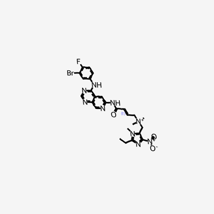 CCc1nc([N+](=O)[O-])c(C[N+](C)(C)C/C=C/C(=O)Nc2cc3c(Nc4ccc(F)c(Br)c4)ncnc3cn2)n1C